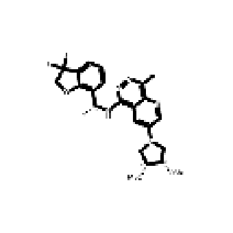 CO[C@H]1CN(c2cnc3c(C)nnc(N[C@H](C)c4cccc5c4OCC5(F)F)c3c2)C[C@H]1OC